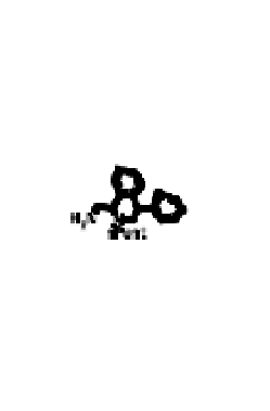 CCCCCN1CC(c2ccccc2)c2ccccc2C1CN